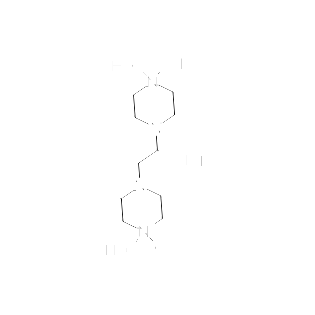 C[N+]1(C)CCN(CCN2CC[N+](C)(C)CC2)CC1.[I-].[I-]